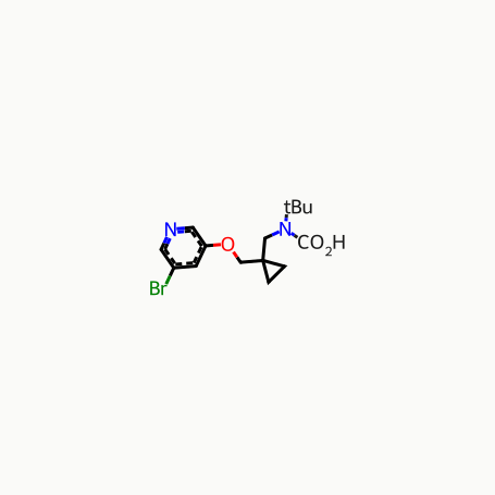 CC(C)(C)N(CC1(COc2cncc(Br)c2)CC1)C(=O)O